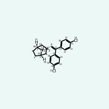 CN1[C@@H]2CC[C@H]1C[C@@H](C=C(c1ccc(Cl)cc1)c1ccc(Cl)cc1)C2